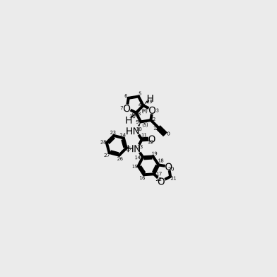 C#CC1O[C@@H]2CCO[C@@H]2[C@H]1NC(=O)Nc1ccc2c(c1)OCO2.c1ccccc1